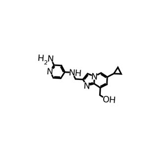 Nc1cc(NCc2cn3cc(C4CC4)cc(CO)c3n2)ccn1